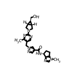 Cc1nc(N2C[C@@H]3[C@@H](CO)[C@@H]3C2)ncc1Cn1cc(C(=O)N[C@@H]2CCc3c2ncn3C)cn1